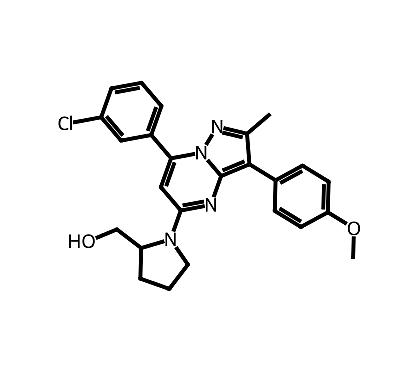 COc1ccc(-c2c(C)nn3c(-c4cccc(Cl)c4)cc(N4CCCC4CO)nc23)cc1